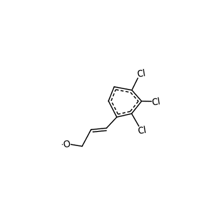 [O]CC=Cc1ccc(Cl)c(Cl)c1Cl